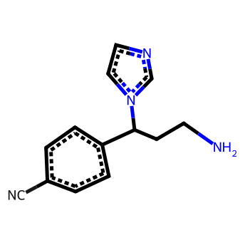 N#Cc1ccc(C(CCN)n2ccnc2)cc1